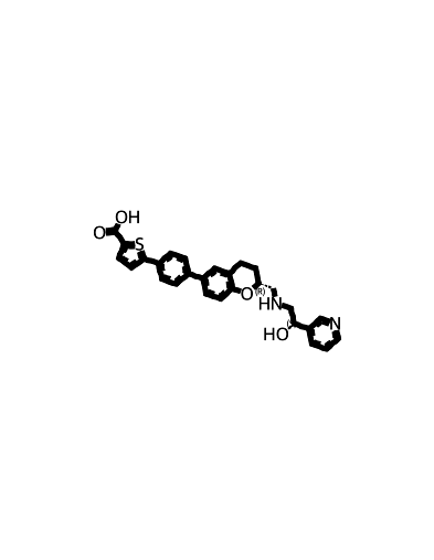 O=C(O)c1ccc(-c2ccc(-c3ccc4c(c3)CC[C@H](CNC[C@@H](O)c3cccnc3)O4)cc2)s1